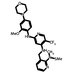 COc1cc(N2CCOCC2)ccc1Nc1cc(NCc2cccnc2N(C)SC)c(C(F)(F)F)cn1